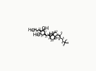 C[C@@H](CCCC(C)(C)C)[C@H]1CC[C@H]2/C(=C/C=C3C[C@@H](O)C(=CCCO)[C@H](O)C3)CCC[C@]12C